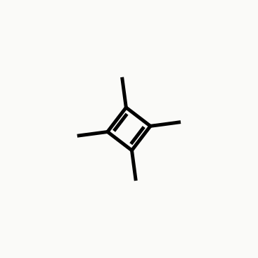 CC1=C(C)C(C)=C1C